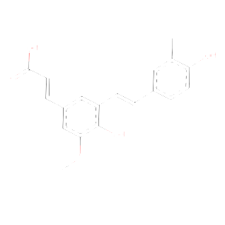 COc1cc(/C=C/C(=O)O)cc(/C=C/c2ccc(O)c(C)c2)c1O